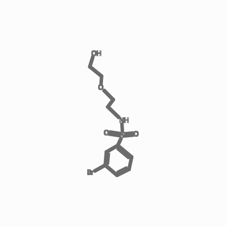 O=S(=O)(NCCOCCO)c1cccc(Br)c1